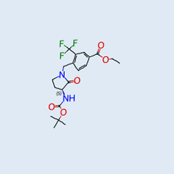 CCOC(=O)c1ccc(CN2CC[C@H](NC(=O)OC(C)(C)C)C2=O)c(C(F)(F)F)c1